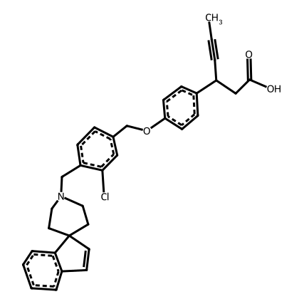 CC#CC(CC(=O)O)c1ccc(OCc2ccc(CN3CCC4(C=Cc5ccccc54)CC3)c(Cl)c2)cc1